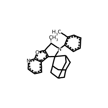 Cc1ccccc1N1[C@@H](C)c2oc3ncccc3c2C12C1CC3CC(C1)CC2C3